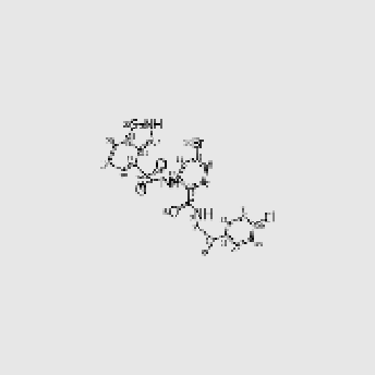 CC(CNC(=O)c1ccc(Br)cc1NS(=O)(=O)C1=CC=CN2SNC=C12)c1ccc(Cl)cc1